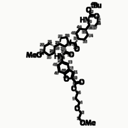 COCCOCCCOC(=O)c1cc2cc(NC(=O)[C@@H]3[C@H]([C@H]4CC[C@H](OC)CC4)CCN3C(=O)[C@H]3CC[C@H]([C@@H](CF)NC(=O)OC(C)(C)C)CC3)ccc2o1